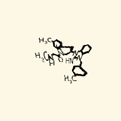 CNCC(=O)NCC(Cc1ccc(C)cc1)n1c(=N)n(Cc2ccc(C)cc2)c2ccccc21